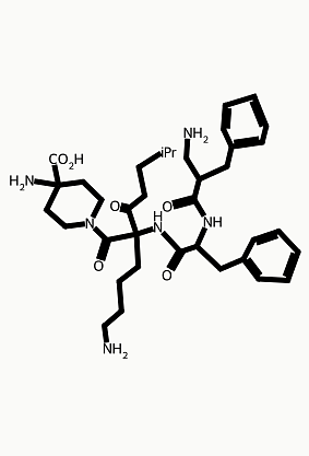 CC(C)CCC(=O)C(CCCCN)(NC(=O)C(Cc1ccccc1)NC(=O)C(CN)Cc1ccccc1)C(=O)N1CCC(N)(C(=O)O)CC1